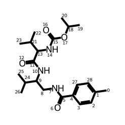 Cc1ccc(C(=O)NCC(NC(=O)C(NC(=O)OC(C)C)C(C)C)C(C)C)cc1